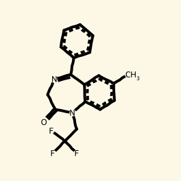 Cc1ccc2c(c1)C(c1ccccc1)=NCC(=O)N2CC(F)(F)F